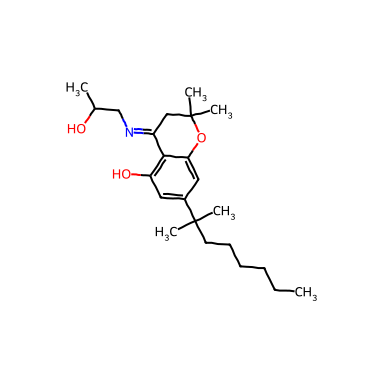 CCCCCCC(C)(C)c1cc(O)c2c(c1)OC(C)(C)CC2=NCC(C)O